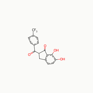 O=C(c1ccc(C(F)(F)F)cc1)C1Cc2ccc(O)c(O)c2C1=O